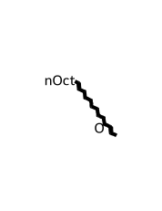 CC=CC(=O)CCCCCCCC=CCCCCCCCC